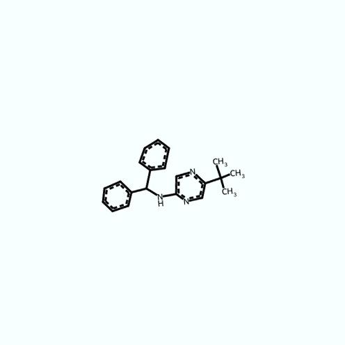 CC(C)(C)c1cnc(NC(c2ccccc2)c2ccccc2)cn1